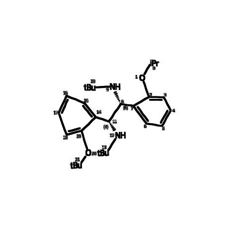 CC(C)Oc1ccccc1[C@@H](NC(C)(C)C)[C@H](NC(C)(C)C)c1ccccc1OC(C)(C)C